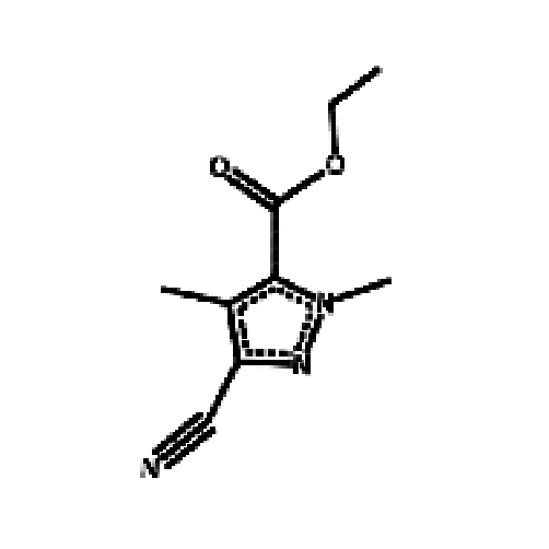 CCOC(=O)c1c(C)c(C#N)nn1C